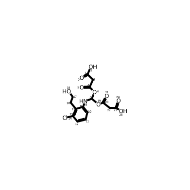 O=C(O)CC(=O)OC(Nc1cccc(Cl)c1CCO)OC(=O)CC(=O)O